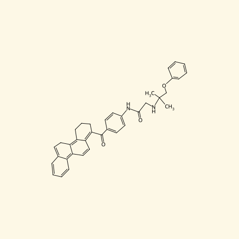 CC(C)(COc1ccccc1)NCC(=O)Nc1ccc(C(=O)C2=c3ccc4c(c3CCC2)CC=c2ccccc2=4)cc1